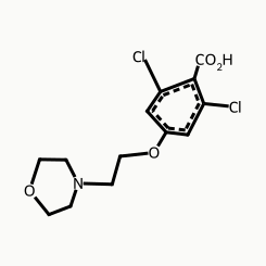 O=C(O)c1c(Cl)cc(OCCN2CCOCC2)cc1Cl